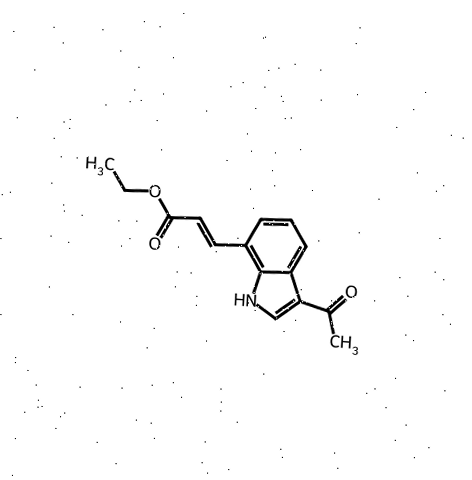 CCOC(=O)/C=C/c1cccc2c(C(C)=O)c[nH]c12